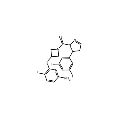 Nc1ccc(F)c(OC2CN(C(=O)N3N=CCC3c3cc(F)cc(F)c3)C2)n1